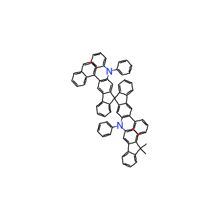 CC1(C)c2ccccc2-c2cc(N(c3ccccc3)c3cc4c(cc3-c3ccccc3)-c3ccccc3C43c4ccccc4-c4cc(-c5cccc6ccccc56)c(N(c5ccccc5)c5ccccc5)cc43)ccc21